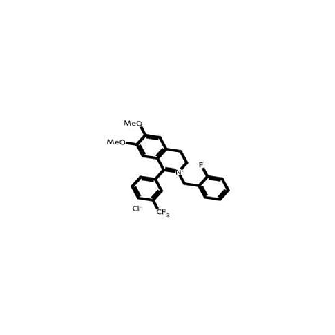 COc1cc2c(cc1OC)C(c1cccc(C(F)(F)F)c1)=[N+](Cc1ccccc1F)CC2.[Cl-]